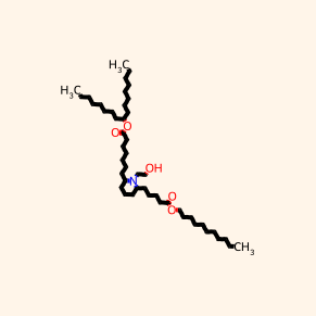 CCCCCCCCCCCOC(=O)CCCCC1CCCC(CCCCCCC(=O)OC(CCCCCCCC)CCCCCCCC)N1CCO